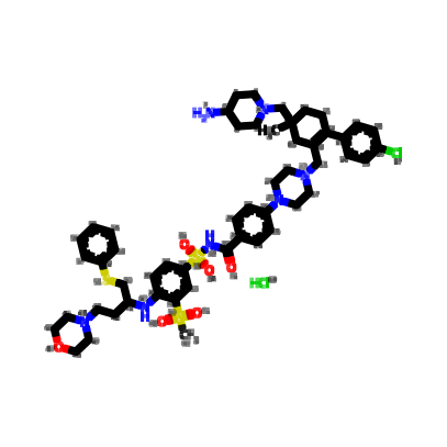 CC1(CN2CCC(N)CC2)CCC(c2ccc(Cl)cc2)=C(CN2CCN(c3ccc(C(=O)NS(=O)(=O)c4ccc(NC(CCN5CCOCC5)CSc5ccccc5)c(S(=O)(=O)C(F)(F)F)c4)cc3)CC2)C1.Cl